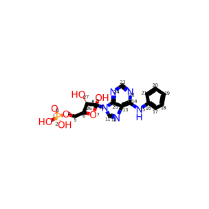 O=P(O)(O)OCC1OC(O)(n2cnc3c(Nc4ccccc4)ncnc32)[C@H]1O